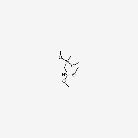 CO[SiH](C[Si](C)(OC)OC)OC